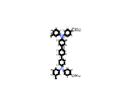 COc1ccc(N(c2ccc(-c3ccc(-c4ccc(N(c5ccc(OC)cc5)c5cccc(C)c5)cc4)cc3)cc2)c2cccc(C)c2)cc1